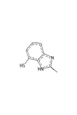 Cc1nc2cccc(S)c2[nH]1